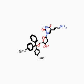 COc1ccc(C(OC[C@H]2O[C@@H](n3cc(/C=C/CN)c(=O)[nH]c3=O)CC2O)(c2ccccc2)c2ccc(OC)cc2)cc1